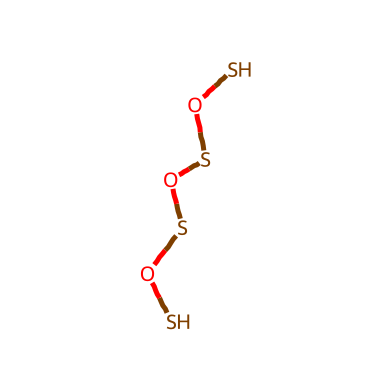 SOSOSOS